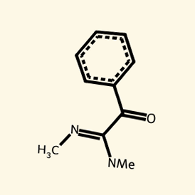 CN=C(NC)C(=O)c1ccccc1